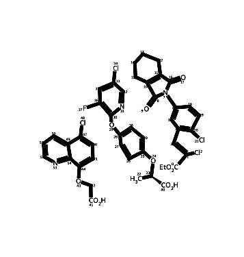 CCOC(=O)/C(Cl)=C/c1cc(N2C(=O)C3=C(CCCC3)C2=O)ccc1Cl.C[C@@H](Oc1ccc(Oc2ncc(Cl)cc2F)cc1)C(=O)O.O=C(O)COc1ccc(Cl)c2cccnc12